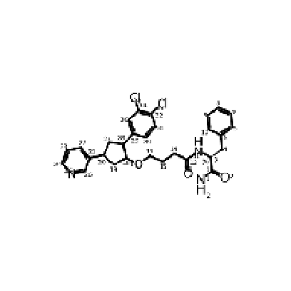 NC(=O)[C@H](Cc1ccccc1)NC(=O)CCCOC1CC(c2cccnc2)CC1c1ccc(Cl)c(Cl)c1